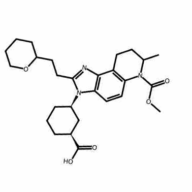 COC(=O)N1c2ccc3c(nc(CCC4CCCCO4)n3[C@@H]3CCC[C@H](C(=O)O)C3)c2CCC1C